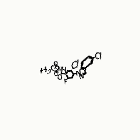 CS(=O)(=O)NC(=O)c1cc(Cl)c(-n2ncc3cc(Cl)ccc32)cc1F